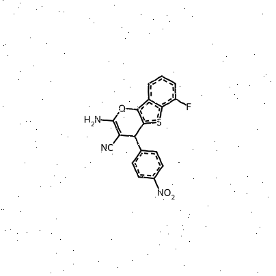 N#CC1=C(N)Oc2c(sc3c(F)cccc23)C1c1ccc([N+](=O)[O-])cc1